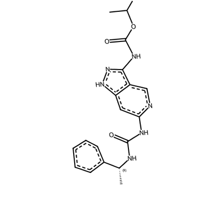 CC(C)OC(=O)Nc1n[nH]c2cc(NC(=O)N[C@H](C)c3ccccc3)ncc12